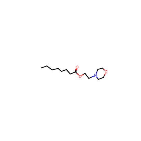 CCCCCCCC(=O)OCCN1CCOCC1